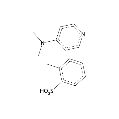 CN(C)c1ccncc1.Cc1ccccc1S(=O)(=O)O